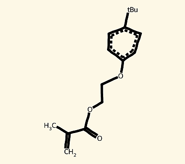 C=C(C)C(=O)OCCOc1ccc(C(C)(C)C)cc1